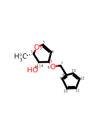 C[C@@H]1OC=C[C@H](OCc2ccccc2)[C@@H]1O